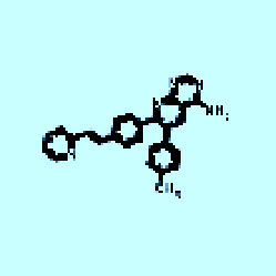 Cc1ccc(-c2cc3c(N)ncnc3nc2-c2ccc(/C=C/c3ccccn3)cc2)cc1